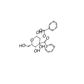 O=C(O[C@H]1[C@@H](O)O[C@H](CO)[C@@H](O)[C@@]1(O)C(=O)c1ccccc1)c1ccccc1